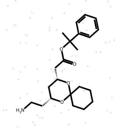 CC(C)(OC(=O)C[C@H]1C[C@@H](CCN)OC2(CCCCC2)O1)c1ccccc1